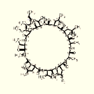 C/C=C/CC(C)C(OC)C1C(=O)NC(CC)C(=O)N(C)CC(=O)N(C)C(CC(C)C)C(=O)NC(C(C)C)C(=O)N(C)C(CC(C)C)C(=O)NC(C)C(=O)NC(C)C(=O)N(C)C(CC(C)C)C(=O)N(C)C(CC(C)C)C(=O)N(C)C(C(C)C)C(=O)N1C